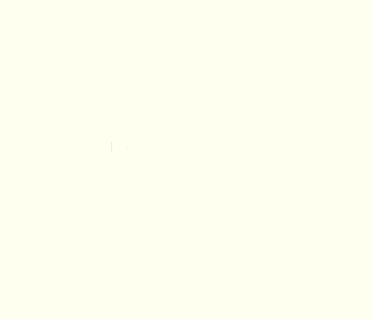 Cc1cccc(CC(C)(C)C(F)(F)F)c1